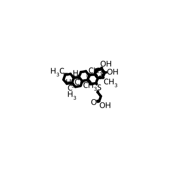 Cc1c(O)c(O)cc2c1C(SCCC(=O)O)C=C1[C@@]2(C)CC[C@@]2(C)[C@@H]3C[C@@H](C)CC[C@]3(C)CC[C@]12C